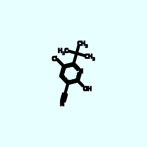 CC(C)(C)c1nc(O)c(C#N)cc1Cl